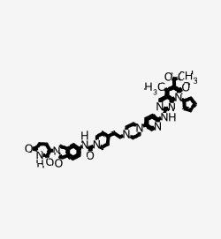 CC(=O)c1c(C)c2cnc(Nc3ccc(N4CCN(CCC5CCN(C(=O)Nc6ccc7c(c6)CN(C6CCC(=O)NC6=O)C7=O)CC5)CC4)cn3)nc2n(C2CCCC2)c1=O